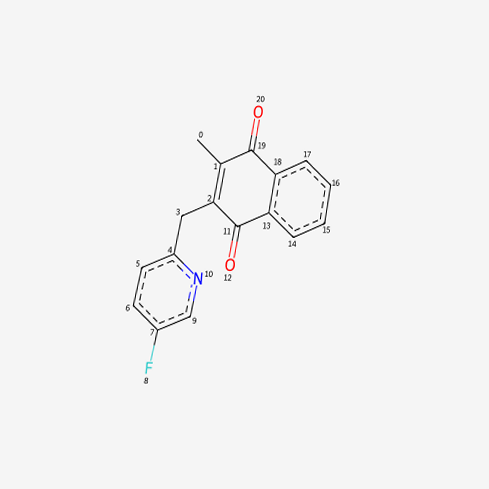 CC1=C(Cc2ccc(F)cn2)C(=O)c2ccccc2C1=O